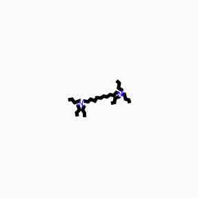 CCCC[N+](CCCC)(CCCC)CCCCCCCCCCC[N+](CCCC)(CCCC)CCCC